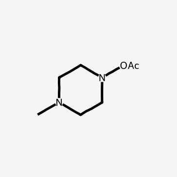 CC(=O)ON1CCN(C)CC1